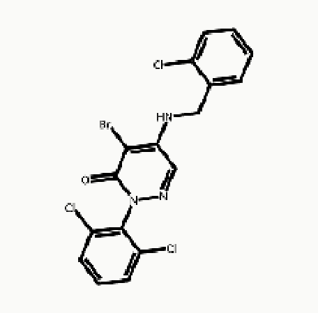 O=c1c(Br)c(NCc2ccccc2Cl)cnn1-c1c(Cl)cccc1Cl